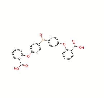 O=C(O)c1ccccc1Oc1ccc([S+]([O-])c2ccc(Oc3ccccc3C(=O)O)cc2)cc1